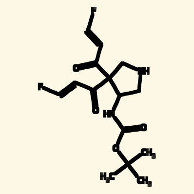 CC(C)(C)OC(=O)NC1CNCC1(C(=O)C=CF)C(=O)C=CF